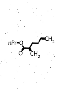 C=CCCC(=C)C(=O)OCCC